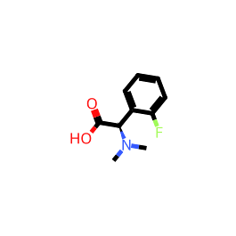 CN(C)[C@@H](C(=O)O)c1ccccc1F